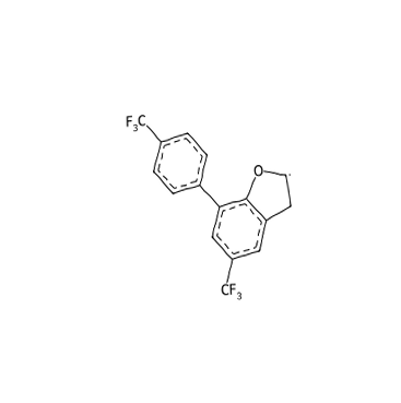 FC(F)(F)c1ccc(-c2cc(C(F)(F)F)cc3c2O[CH]C3)cc1